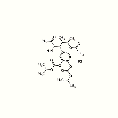 CC(=O)O[C@H](C)[C@H](C)C(c1ccc(OC(=O)OC(C)C)c(OC(=O)OC(C)C)c1)[C@H](N)C(=O)O.Cl